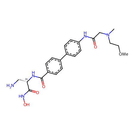 COCCN(C)CC(=O)Nc1ccc(-c2ccc(C(=O)N[C@@H](CN)C(=O)NO)cc2)cc1